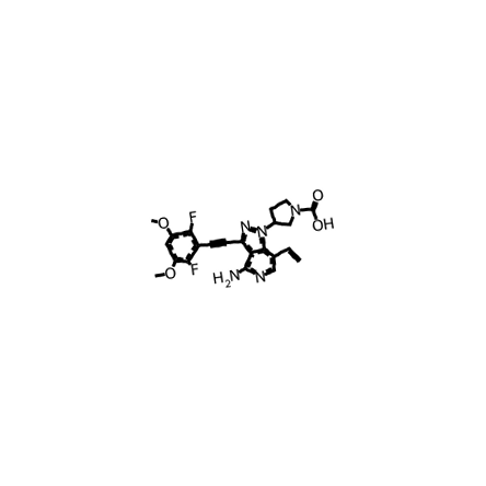 C=Cc1cnc(N)c2c(C#Cc3c(F)c(OC)cc(OC)c3F)nn(C3CCN(C(=O)O)C3)c12